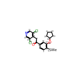 CSc1ccc(C(=O)Cc2c(Cl)cncc2Cl)cc1OC1CCCC1